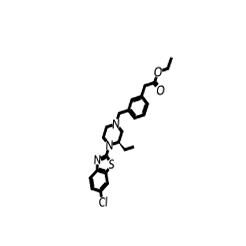 CCOC(=O)Cc1cccc(CN2CCN(c3nc4ccc(Cl)cc4s3)[C@H](CC)C2)c1